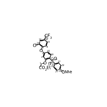 CCOC(=O)COc1cc(Oc2ccc(C(F)(F)F)cc2Cl)ccc1S(=O)(=O)c1ccc(OC)cc1